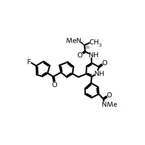 CNC(=O)c1cccc(-c2[nH]c(=O)c(NC(=O)[C@H](C)NC)cc2Cc2cccc(C(=O)c3ccc(F)cc3)c2)c1